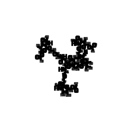 CC(=O)NC1C(OCCOCCNC(=O)CN(CC(=O)NCCOCCOC2OC(COC(C)=O)C(C)C(C)C2NC(C)=O)C(Cc2ccc(OP(OCCC#N)N(C(C)C)C(C)C)cc2)C(=O)NCCOCCOC2OC(COC(C)=O)C(C)C(C)C2NC(C)=O)OC(COC(C)=O)C(C)C1C